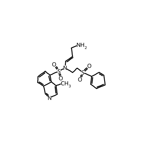 Cc1cncc2cccc(S(=O)(=O)N(C=CCN)CCS(=O)(=O)c3ccccc3)c12